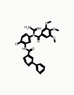 COc1cc(C(=O)N(C(=N)N)c2ccc(Cl)c(NC(=O)c3cccc(-c4ccccc4)c3)c2)cc(OC)c1OC